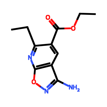 CCOC(=O)c1cc2c(N)noc2nc1CC